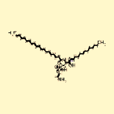 CCCCCCCCCCC/C=C/[C@@H](O)[C@H](COP(=O)(O)OCCN)NC(=O)CCCCCCCCCCCCCCCCCCC